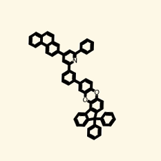 c1ccc(-c2cc(-c3ccc4c(ccc5ccccc54)c3)cc(-c3cccc(-c4ccc5c(c4)Oc4c(ccc6c4-c4ccccc4C6(c4ccccc4)c4ccccc4)O5)c3)n2)cc1